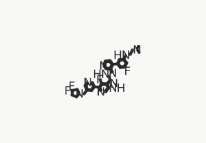 CN(C)CCNc1cc(F)cc(-c2ccnc3[nH]c(-c4n[nH]c5cnc(-c6cncc(CN7CCC(F)(F)C7)c6)c(F)c45)nc23)c1